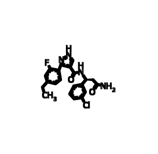 CCc1ccc(-c2n[nH]cc2C(=O)N[C@@H](CC(N)=O)c2cccc(Cl)c2)c(F)c1